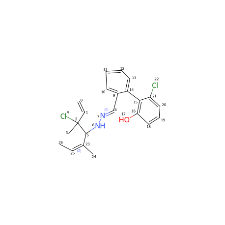 C=CC(C)(Cl)C(N/N=C/c1ccccc1-c1c(O)cccc1Cl)/C(C)=C\C